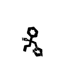 C=CC[C@@](O)(Cn1cncn1)c1ccccc1